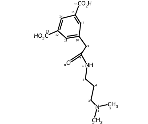 CN(C)CCCNC(=O)Cc1cc(C(=O)O)cc(C(=O)O)c1